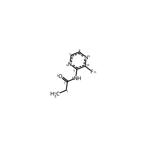 CCC(=O)Nc1nccnc1F